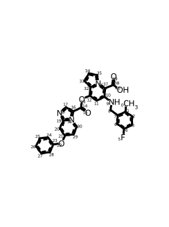 Cc1ccc(F)cc1CNc1cc(OC(=O)c2cnc3cc(Oc4ccccc4)ccn23)c2cccn2c1C(=O)O